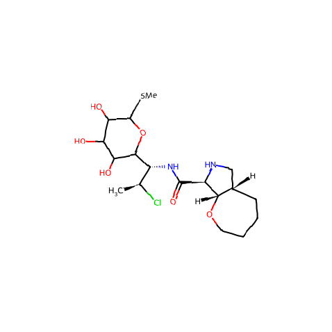 CSC1OC([C@H](NC(=O)[C@H]2NC[C@@H]3CCCCO[C@@H]32)[C@H](C)Cl)C(O)C(O)C1O